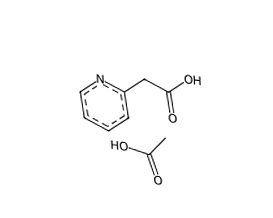 CC(=O)O.O=C(O)Cc1ccccn1